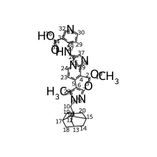 COC(=O)c1c(-c2cnn(CC34CC5CC(CC(C5)C3)C4)c2C)ccn2c(Nc3ccncc3C(=O)O)cnc12